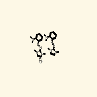 CN(C)c1ccccc1N=Nc1n(C)cc[n+]1C.CN(C)c1ccccc1N=Nc1n(C)cc[n+]1C.[Cl-].[Cl-]